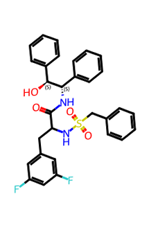 O=C(N[C@@H](c1ccccc1)[C@@H](O)c1ccccc1)C(Cc1cc(F)cc(F)c1)NS(=O)(=O)Cc1ccccc1